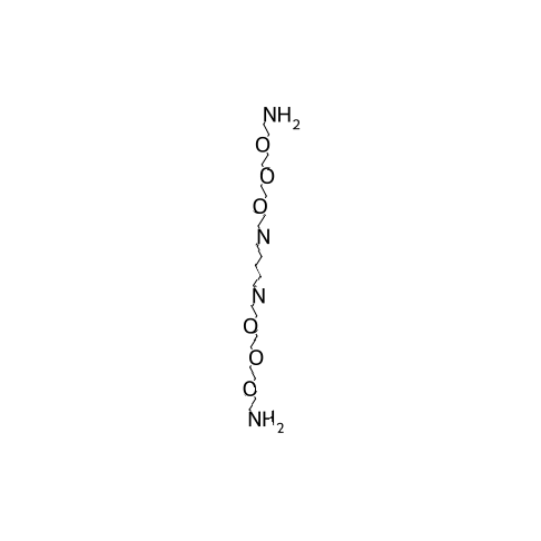 NCCOCCOCCOCC/N=C/CCC/C=N/CCOCCOCCOCCN